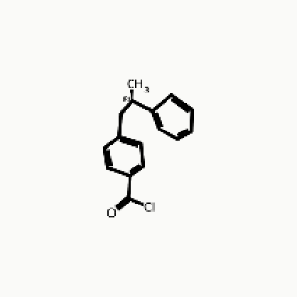 C[C@H](Cc1ccc(C(=O)Cl)cc1)c1ccccc1